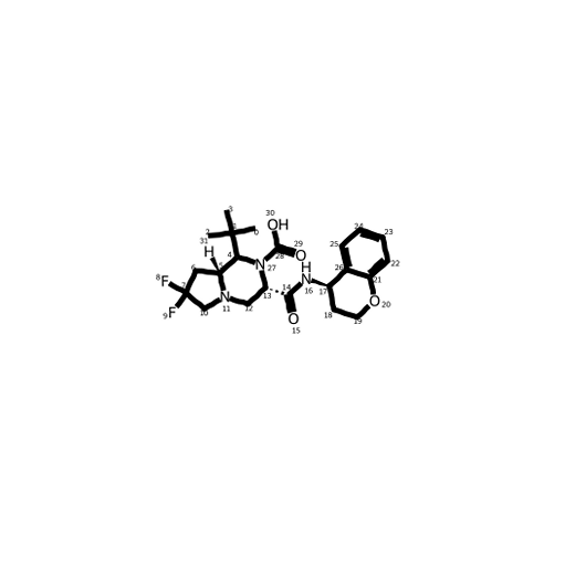 CC(C)(C)C1[C@H]2CC(F)(F)CN2C[C@@H](C(=O)N[C@@H]2CCOc3ccccc32)N1C(=O)O